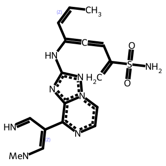 C=C(C=C=C(/C=C\C)Nc1nc2c(/C(C=N)=C/NC)nccn2n1)S(N)(=O)=O